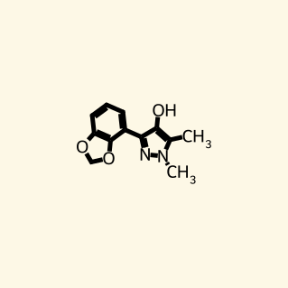 Cc1c(O)c(-c2cccc3c2OCO3)nn1C